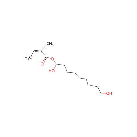 CC=C(C)C(=O)OC(O)CCCCCCCCO